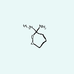 NC1(N)CCCOO1